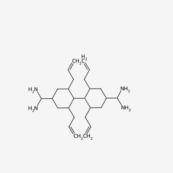 C=CCC1CC(C(N)N)CC(CC=C)C1C1C(CC=C)CC(C(N)N)CC1CC=C